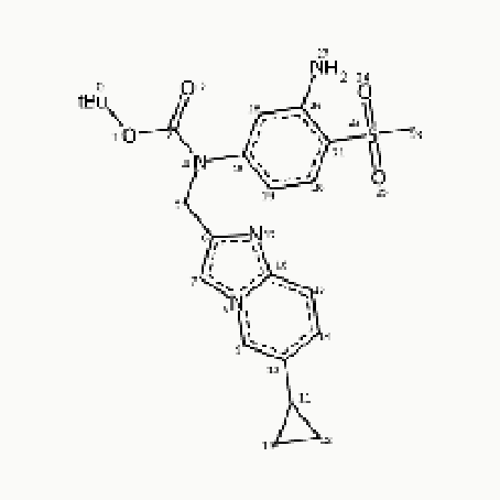 CC(C)(C)OC(=O)N(Cc1cn2cc(C3CC3)ccc2n1)c1ccc(S(C)(=O)=O)c(N)c1